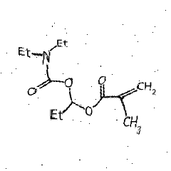 C=C(C)C(=O)OC(CC)OC(=O)N(CC)CC